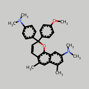 COc1ccc(C2(c3ccc(N(C)C)cc3)C=Cc3c(C)cc4c(C)cc(N(C)C)cc4c3O2)cc1